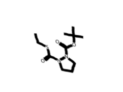 CCSC(=O)N1CCCN1C(=O)OC(C)(C)C